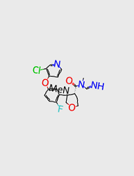 CN[C@@]1(c2cc(Oc3ccncc3Cl)ccc2F)COCC[C@H]1C(=O)N(C)C=N